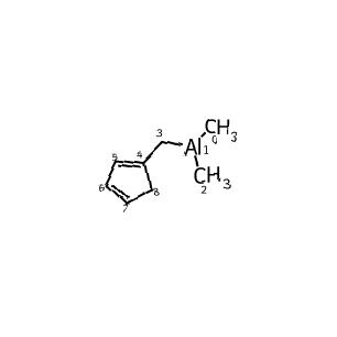 [CH3][Al]([CH3])[CH2]C1=CC=CC1